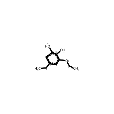 CCOc1cc(CC)cc(O)c1O